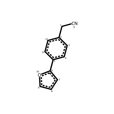 N#CCc1ccc(-c2ccco2)cc1